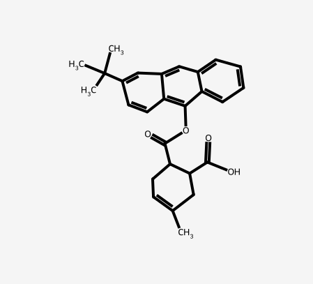 CC1=CCC(C(=O)Oc2c3ccccc3cc3cc(C(C)(C)C)ccc23)C(C(=O)O)C1